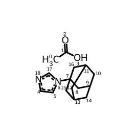 CC(=O)O.c1cn(C23CC4CC(CC(C4)C2)C3)cn1